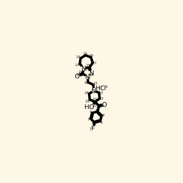 Cl.O=C(c1ccc(F)cc1)C1(O)CCN(CCn2nc3n(c2=O)CCCCC3)CC1